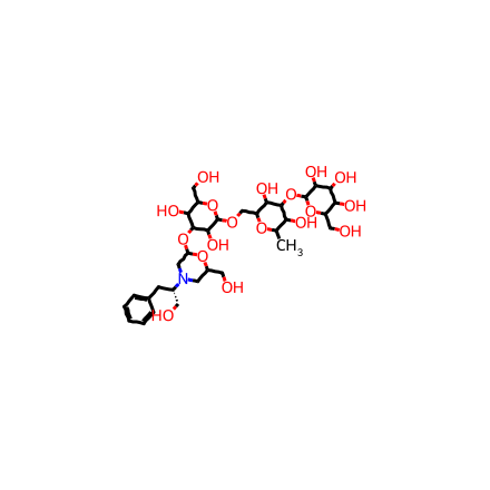 CC1OC(COC2OC(CO)C(O)C(OC3CN([C@H](CO)Cc4ccccc4)CC(CO)O3)C2O)C(O)C(OC2OC(CO)C(O)C(O)C2O)C1O